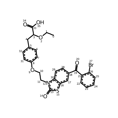 CCOC(Cc1ccc(OCCn2c(=O)sc3cc(C(=O)c4ccccc4Br)ccc32)cc1)C(=O)O